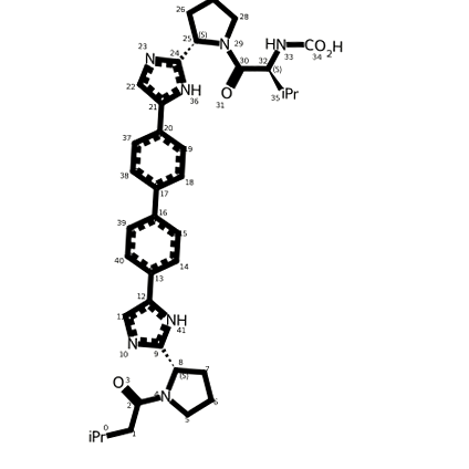 CC(C)CC(=O)N1CCC[C@H]1c1ncc(-c2ccc(-c3ccc(-c4cnc([C@@H]5CCCN5C(=O)[C@@H](NC(=O)O)C(C)C)[nH]4)cc3)cc2)[nH]1